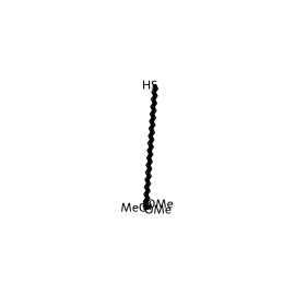 CO[Si](CCCCCCCCCCCCCCCCCCCCCCCCCCCCCCCCS)(OC)OC